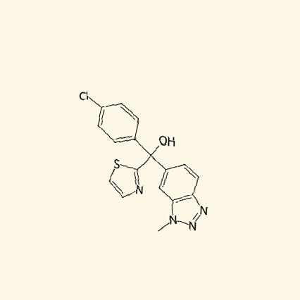 Cn1nnc2ccc(C(O)(c3ccc(Cl)cc3)c3nccs3)cc21